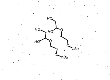 CCCCOCCOC(O)CO.CCCCOCCOC(O)CO